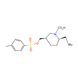 Cc1ccc(S(=O)(=O)OC[C@@H]2CC[C@H](CC(C)(C)C)N(C(=O)O)C2)cc1